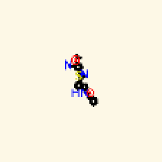 CC(C)Oc1ccc(-c2ncc(-c3cccc4c3CC[C@@H]4NC(=O)Cc3ccccc3)s2)cc1C#N